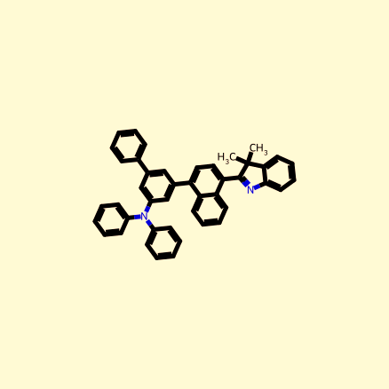 CC1(C)C(c2ccc(-c3cc(-c4ccccc4)cc(N(c4ccccc4)c4ccccc4)c3)c3ccccc23)=Nc2ccccc21